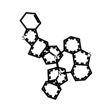 C1=Cc2c(sc3ccc(N(c4ccccc4)c4cccc5sc6cccc(N(c7ccccc7)c7ccccc7)c6c45)cc23)CC1